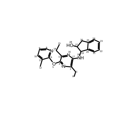 CCc1nc(Oc2ncccc2C)c(CC)nc1NC1c2ccccc2CC1O